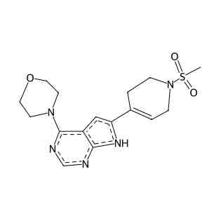 CS(=O)(=O)N1CC=C(c2cc3c(N4CCOCC4)ncnc3[nH]2)CC1